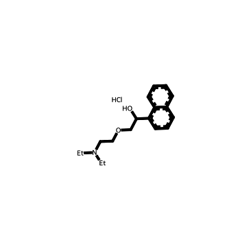 CCN(CC)CCOCC(O)c1cccc2ccccc12.Cl